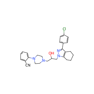 N#Cc1ccccc1N1CCN(CC(O)Cn2nc(-c3ccc(Cl)cc3)c3c2CCCC3)CC1